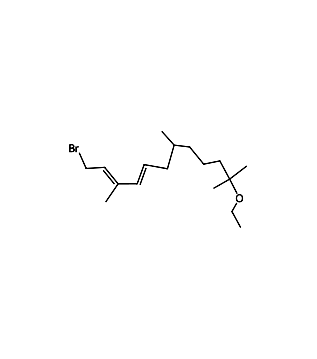 CCOC(C)(C)CCCC(C)CC=CC(C)=CCBr